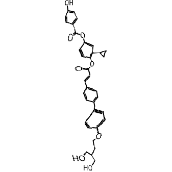 O=C(/C=C/c1ccc(-c2ccc(OCCC(CO)CO)cc2)cc1)Oc1ccc(OC(=O)c2ccc(O)cc2)cc1C1CC1